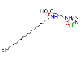 CCC=CCC=CCC=CCC=CCC=CCC=CCCC(=O)N[C@@H](CCCCNC(=O)c1cccnc1Cl)C(=O)O